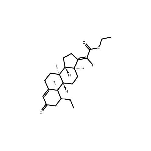 CCOC(=O)C(F)=C1CC[C@H]2[C@@H]3CCC4=CC(=O)C[C@H](CC)[C@]4(C)[C@H]3CC[C@]12C